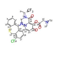 C[C@@H](N1CN([C@@H]2c3ccccc3SCc3c(Cl)cccc32)n2ccc(=O)c(OC(=O)CN(C)C)c2C1=O)C(F)(F)F